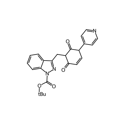 CC(C)(C)OC(=O)n1nc(CC2C(=O)C=CC(c3ccncc3)C2=O)c2ccccc21